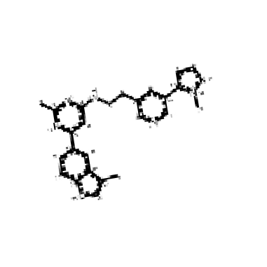 Cc1nc(NCCc2cncc(-c3ccnn3C)c2)cc(-c2ccc3occ(C)c3c2)n1